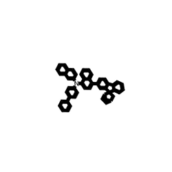 c1ccc(-c2ccc(N(c3ccc4ccccc4c3)c3ccc(-c4ccc5c(c4)C4(CC6CCC4C6)c4ccccc4-5)c4ccccc34)cc2)cc1